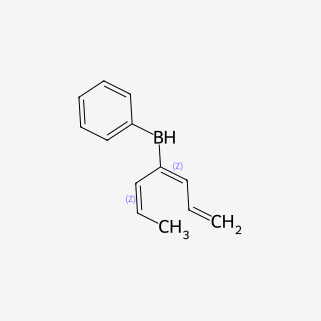 C=C/C=C(Bc1ccccc1)\C=C/C